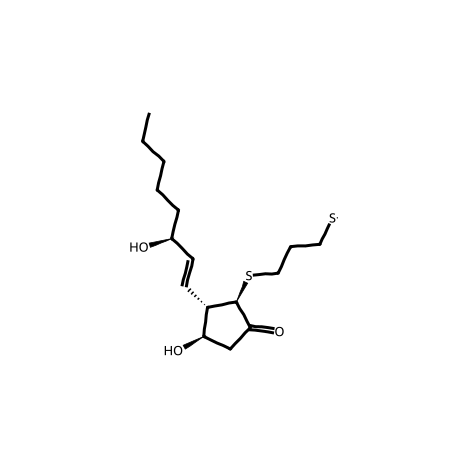 CCCCC[C@H](O)/C=C/[C@H]1[C@H](O)CC(=O)[C@@H]1SCCC[S]